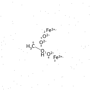 CO.[Fe+3].[Fe+3].[O-2].[O-2].[O-2]